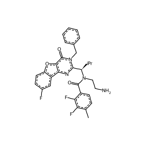 Cc1ccc(C(=O)N(CCN)[C@@H](c2nc3c(oc4ccc(F)cc43)c(=O)n2Cc2ccccc2)C(C)C)c(F)c1F